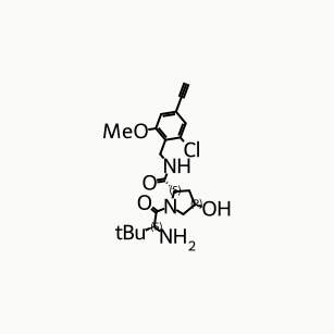 C#Cc1cc(Cl)c(CNC(=O)[C@@H]2C[C@@H](O)CN2C(=O)[C@@H](N)C(C)(C)C)c(OC)c1